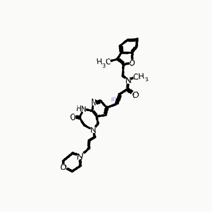 Cc1c(CN(C)C(=O)/C=C/c2cnc3c(c2)CN(CCCN2CCOCC2)CC(=O)N3)oc2ccccc12